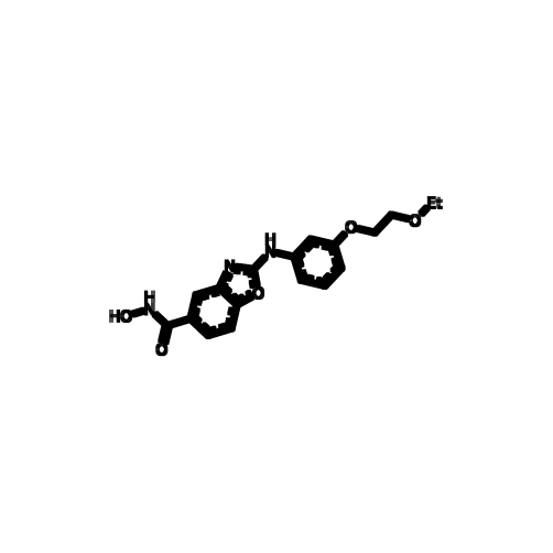 CCOCCOc1cccc(Nc2nc3cc(C(=O)NO)ccc3o2)c1